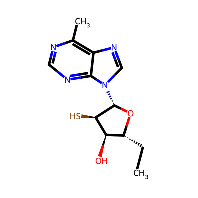 CC[C@H]1O[C@@H](n2cnc3c(C)ncnc32)[C@H](S)[C@@H]1O